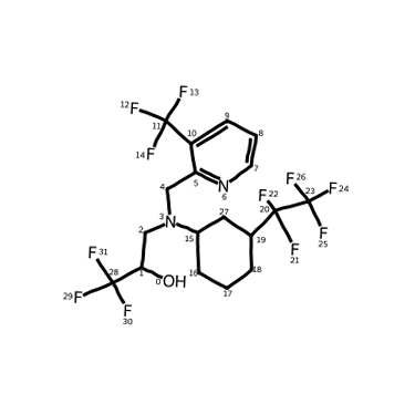 OC(CN(Cc1ncccc1C(F)(F)F)C1CCCC(C(F)(F)C(F)(F)F)C1)C(F)(F)F